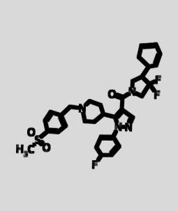 CS(=O)(=O)c1ccc(CN2CCC(c3c(C(=O)N4CC(C5C=CC=CC5)C(F)(F)C4)cnn3C3=CCC(F)C=C3)CC2)cc1